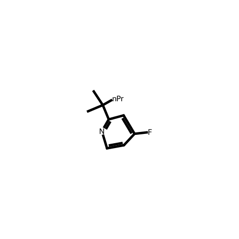 CCCC(C)(C)c1cc(F)ccn1